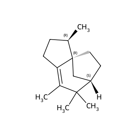 CC1=C2CC[C@@H](C)[C@]23CC[C@@H](C3)C1(C)C